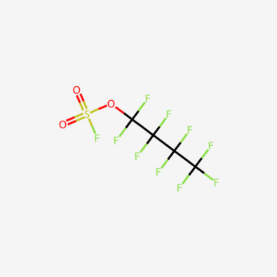 O=S(=O)(F)OC(F)(F)C(F)(F)C(F)(F)C(F)(F)F